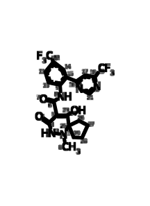 CN1NC(=O)C(C(=O)Nc2ccc(C(F)(F)F)cc2-c2cc(C(F)(F)F)ncn2)=C(O)C12CCCC2